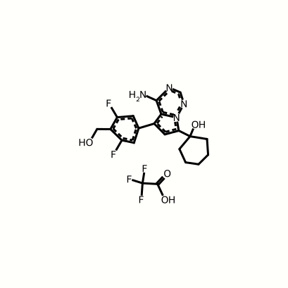 Nc1ncnn2c(C3(O)CCCCC3)cc(-c3cc(F)c(CO)c(F)c3)c12.O=C(O)C(F)(F)F